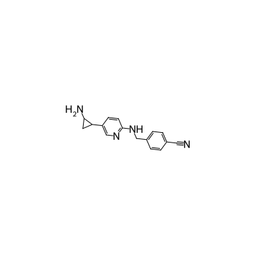 N#Cc1ccc(CNc2ccc(C3CC3N)cn2)cc1